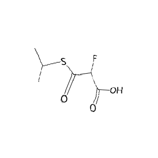 CC(C)SC(=O)C(F)C(=O)O